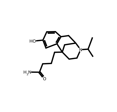 CC(C)N1CCC2(CCCC(N)=O)CC1Cc1ccc(O)cc12